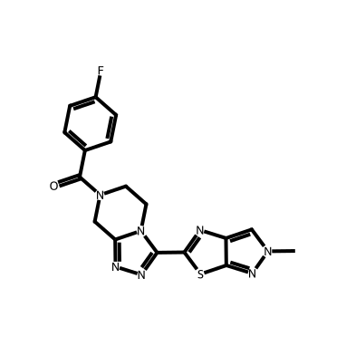 Cn1cc2nc(-c3nnc4n3CCN(C(=O)c3ccc(F)cc3)C4)sc2n1